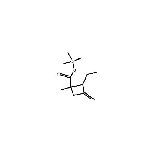 CCC1C(=O)CC1(C)C(=O)O[Si](C)(C)C